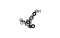 COC(=O)Cn1cnc2c(-n3ncc4ccccc43)nc(N3CCN(c4ccc(O)cc4)CC3)nc21